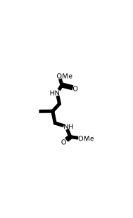 COC(=O)NCC(C)CNC(=O)OC